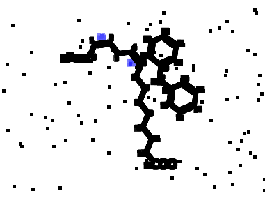 CCCCC/C=C\C/C=C\CCCCCCCC(=O)[O-].c1ccc([I+]c2ccccc2)cc1